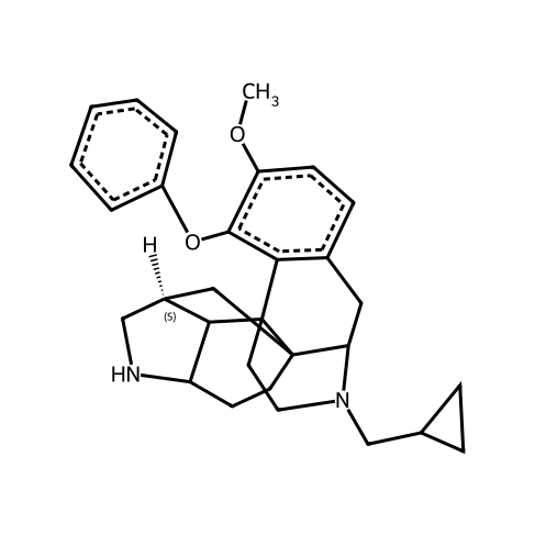 COc1ccc2c(c1Oc1ccccc1)C13CCN(CC4CC4)C(C2)C12CCC1NC[C@@H](C2)C13